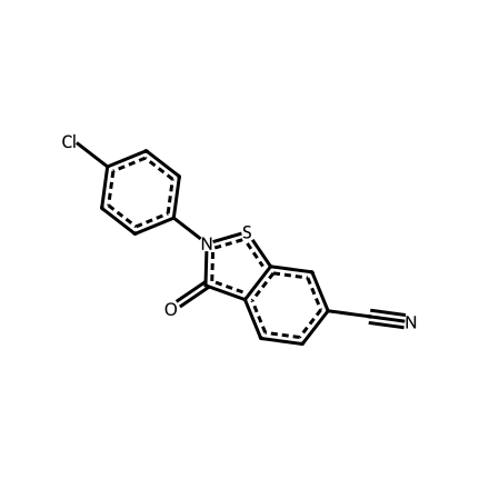 N#Cc1ccc2c(=O)n(-c3ccc(Cl)cc3)sc2c1